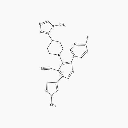 Cn1cc(-c2cnc(-c3ccc(F)nc3)c(N3CCC(c4nncn4C)CC3)c2C#N)cn1